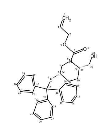 C=CCOC(=O)N1C[C@@H](SC(c2ccccc2)(c2ccccc2)c2ccccc2)CC[C@H]1CO